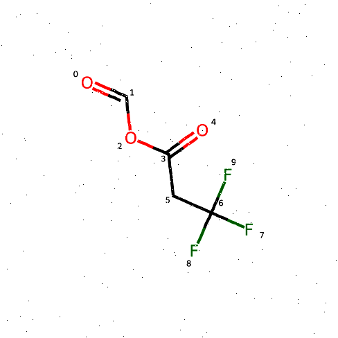 O=COC(=O)CC(F)(F)F